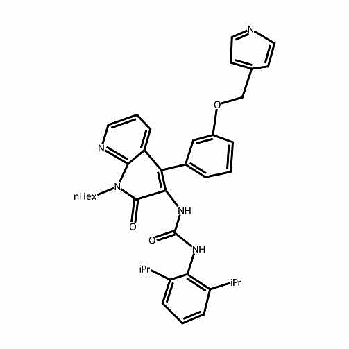 CCCCCCn1c(=O)c(NC(=O)Nc2c(C(C)C)cccc2C(C)C)c(-c2cccc(OCc3ccncc3)c2)c2cccnc21